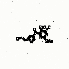 CCOC(=O)c1cnc(SC)nc1C(=O)c1cnn(CCCl)c1